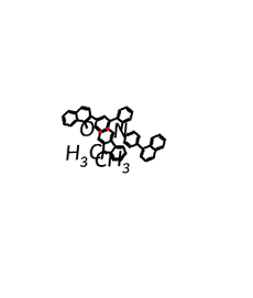 CC1(C)c2ccccc2-c2c(N(c3ccc(-c4cccc5ccccc45)cc3)c3ccccc3-c3ccc4oc5c6ccccc6ccc5c4c3)cccc21